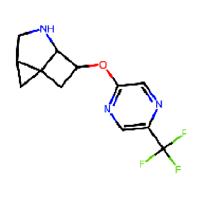 FC(F)(F)c1cnc(OC2CC34CC3CNC24)cn1